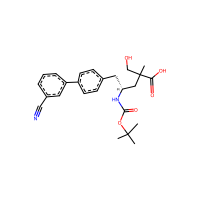 CC(C)(C)OC(=O)N[C@H](Cc1ccc(-c2cccc(C#N)c2)cc1)CC(C)(CO)C(=O)O